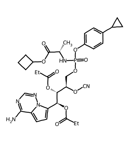 CCC(=O)O[C@H]([C@@H](COP(=O)(N[C@@H](C)C(=O)OC1CCC1)Oc1ccc(C2CC2)cc1)OC#N)[C@@H](OC(=O)CC)c1ccc2c(N)ncnn12